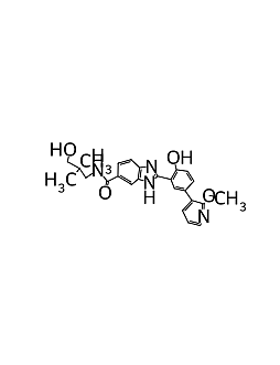 COc1ncccc1-c1ccc(O)c(-c2nc3ccc(C(=O)NCC(C)(C)CO)cc3[nH]2)c1